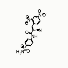 N#CC(=Cc1ccc([N+](=O)[O-])cc1[N+](=O)[O-])C(=O)Nc1ccc(S(N)(=O)=O)cc1